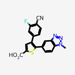 Cn1nnc2cc(-c3sc(C(=O)O)cc3-c3ccc(C#N)c(F)c3)ccc21